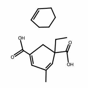 C1=CCCCC1.CCC1(C(=O)O)C=C(C)C=C(C(=O)O)C1